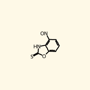 O=Nc1cccc2oc(=S)[nH]c12